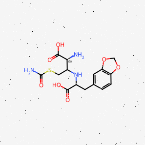 NC(=O)SCC(NC(Cc1ccc2c(c1)OCO2)C(=O)O)[C@H](N)C(=O)O